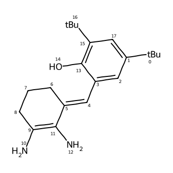 CC(C)(C)c1cc(C=C2CCCC(N)=C2N)c(O)c(C(C)(C)C)c1